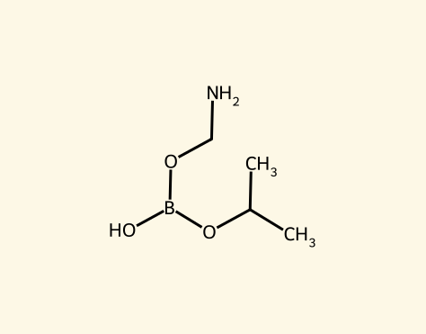 CC(C)OB(O)OCN